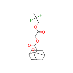 CC(F)(F)COC(=O)COC(=O)C12CC3CC(C1)C(=O)C(C3)C2